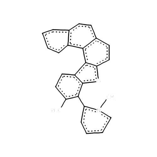 Cc1ccc2c(oc3ccc4ccc5ccccc5c4c32)c1-c1cccc[n+]1C